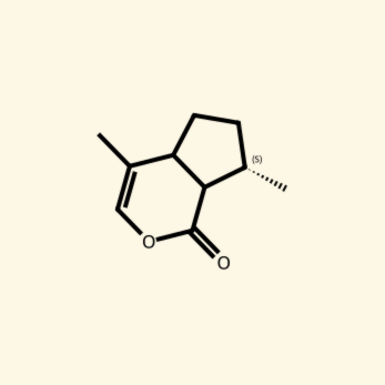 CC1=COC(=O)C2C1CC[C@@H]2C